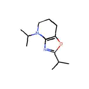 CC(C)c1nc2c(o1)CCCN2C(C)C